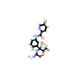 CC1(c2cc(NC(=O)c3ccc(Cl)cn3)ccc2F)N=C(N)COC1C(F)F